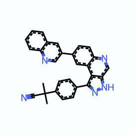 CC(C)(C#N)c1ccc(-c2n[nH]c3cnc4ccc(-c5cnc6ccccc6c5)cc4c23)cc1